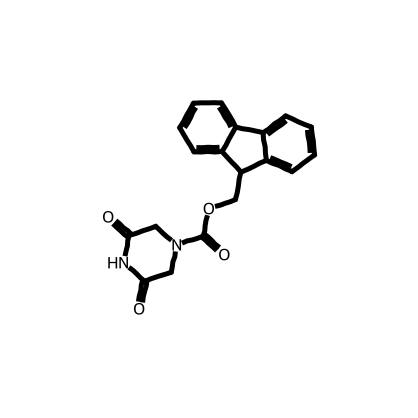 O=C1CN(C(=O)OCC2c3ccccc3-c3ccccc32)CC(=O)N1